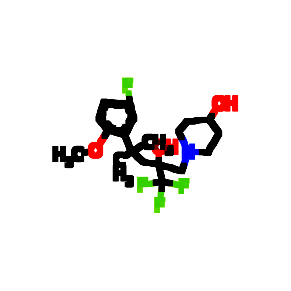 COc1ccc(F)cc1C(C)(C)CC(O)(CN1CCC(O)CC1)C(F)(F)F